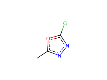 Cc1nnc(Cl)o1